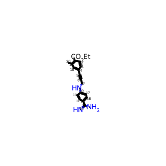 CCOC(=O)c1ccc(C#CCNc2ccc(C(=N)N)cc2)cc1C